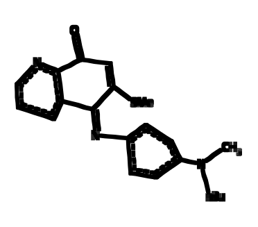 CCCCN(C)c1ccc(N=C2C(SC)=CC(=O)c3ncccc32)cc1